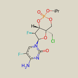 CC(C)OP1(=O)OC[C@@]2(CCl)O[C@@H](n3cc(F)c(N)nc3=O)[C@@H](F)[C@@H]2O1